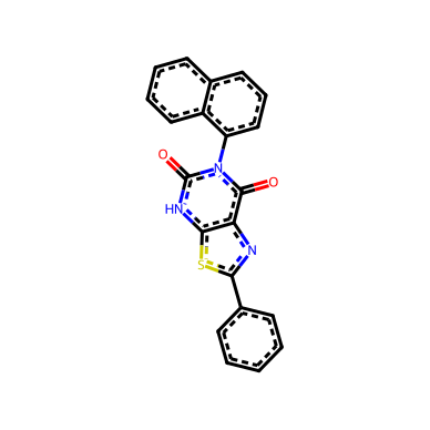 O=c1[nH]c2sc(-c3ccccc3)nc2c(=O)n1-c1cccc2ccccc12